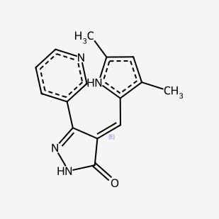 Cc1cc(C)c(/C=C2/C(=O)NN=C2c2cccnc2)[nH]1